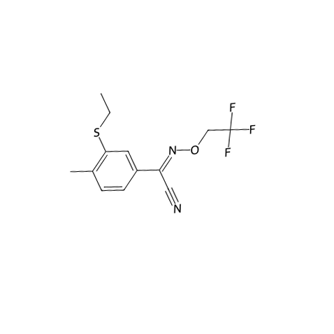 CCSc1cc(/C(C#N)=N/OCC(F)(F)F)ccc1C